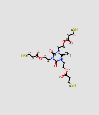 C=C1N(CCOC(=O)CCS)C(=O)N(CCOC(=O)CCS)C(=O)N1CCOC(=O)CCS